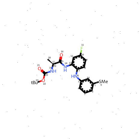 CSc1cccc(Nc2ccc(F)cc2NC(=O)[C@H](C)NC(=O)OC(C)(C)C)c1